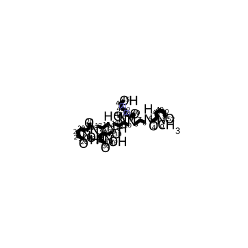 Cn1c(C(=O)NCCCN(CCCCN(CCCNC(=O)c2cccc(=O)n2O)C(=O)c2cccc(=O)n2O)C(=O)/C(=C/C=C\O)NO)cccc1=O